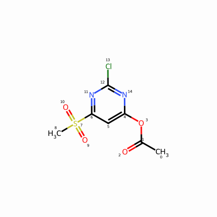 CC(=O)Oc1cc(S(C)(=O)=O)nc(Cl)n1